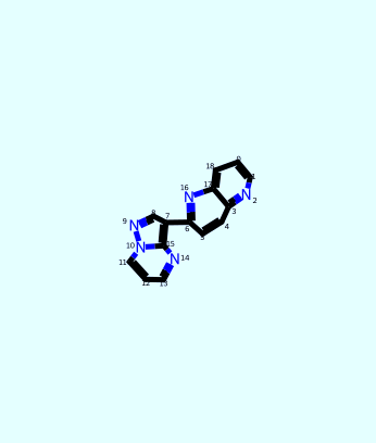 c1cnc2ccc(-c3cnn4cccnc34)nc2c1